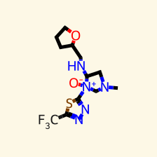 CN1CC(NCC2CCCO2)[N+]([O-])(c2nnc(C(F)(F)F)s2)C1